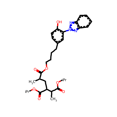 CC(C)OC(=O)C(C)C(CC(C)C(=O)OCCCCc1ccc(O)c(-n2nc3ccccc3n2)c1)C(=O)OC(C)C